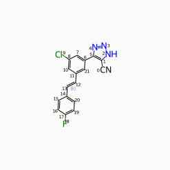 N#Cc1[nH]nnc1-c1cc(Cl)cc(/C=C/c2ccc(F)cc2)c1